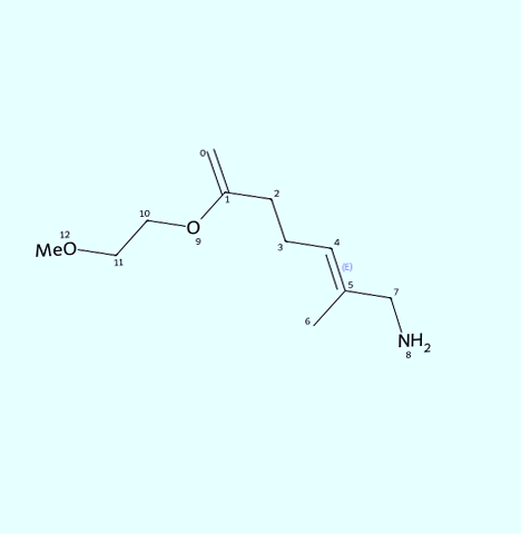 C=C(CC/C=C(\C)CN)OCCOC